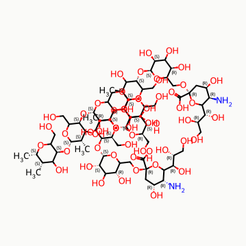 CC1C(O)[C@H](O[C@@H]2OC(CO[C@]3(C(=O)O)C[C@@H](O)[C@@H](N)C([C@H](O)[C@H](O)CO)O3)[C@H](O)C(O)[C@@H]2O)[C@H](CO)O[C@H]1OC1C(O)[C@H](O)C(CO)O[C@@H]1OCC1O[C@@H](O[C@@H]2C(CO)O[C@@H](O[C@@H]3C(CO)O[C@@H](C)[C@@H](C)C3O)[C@@H](C)C2O)[C@H](O)C(O[C@H]2O[C@H](CO)[C@@H](O)C(O)C2O[C@@H]2OC(CO)[C@@H](O[C@@H]3OC(CO[C@]4(C(=O)O)C[C@@H](O)[C@@H](N)C([C@H](O)[C@H](O)CO)O4)[C@H](O)C(O)[C@@H]3O)C(O)[C@@H]2C)[C@@H]1O